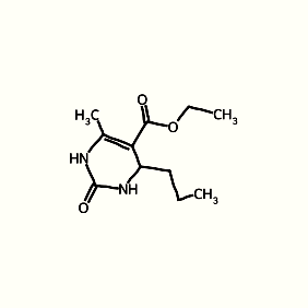 CCCC1NC(=O)NC(C)=C1C(=O)OCC